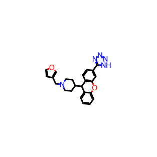 c1ccc2c(c1)Oc1cc(-c3nnn[nH]3)ccc1C2C1CCN(Cc2ccoc2)CC1